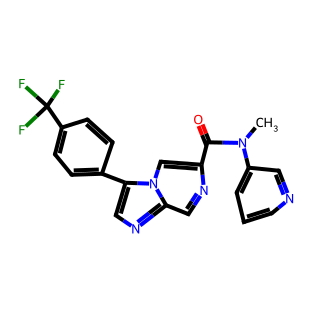 CN(C(=O)c1cn2c(-c3ccc(C(F)(F)F)cc3)cnc2cn1)c1cccnc1